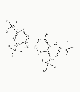 CC=C1CC(C(C)(C)C)=CC(C(C)(C)C)=C1OP(F)Oc1ccc(C(C)(C)C)cc1C(C)(C)C